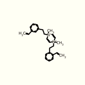 C=Cc1cccc(CC[N+]2(C)C=C[N+](C)(CCc3ccccc3C=C)C=C2)c1